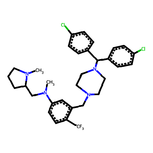 CN(CC1CCCN1C)c1ccc(C(F)(F)F)c(CN2CCN(C(c3ccc(Cl)cc3)c3ccc(Cl)cc3)CC2)c1